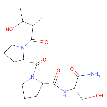 CC(O)[C@H](C)C(=O)N1CCC[C@H]1C(=O)N1CCC[C@H]1C(=O)N[C@@H](CO)C(N)=O